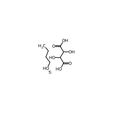 CCCCO.O=C(O)C(O)C(O)C(=O)O.[Ti]